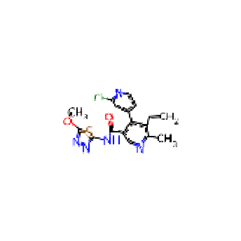 C=Cc1c(C)ncc(C(=O)Nc2nnc(OC)s2)c1-c1ccnc(Cl)c1